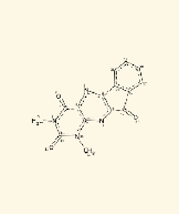 Cn1c(=O)c2nc3c(nc2n(C)c1=O)C(=O)c1ccccc1-3